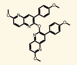 COc1ccc(-c2cc3nc(OC)ccc3nc2Oc2nc3ccc(OC)nc3cc2-c2ccc(OC)cc2)cc1